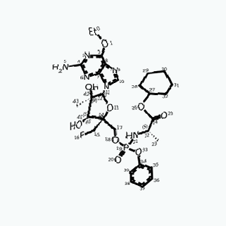 CCOc1nc(N)nc2c1ncn2[C@@H]1O[C@](CF)(COP(=O)(N[C@@H](C)C(=O)OC2CCCCC2)Oc2ccccc2)[C@@H](O)[C@@]1(C)O